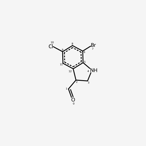 O=CC1CNc2c(Br)cc(Cl)cc21